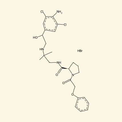 Br.CC(C)(CNC(=O)[C@H]1CCCN1C(=O)COc1ccccc1)NCC(O)c1cc(Cl)c(N)c(Cl)c1